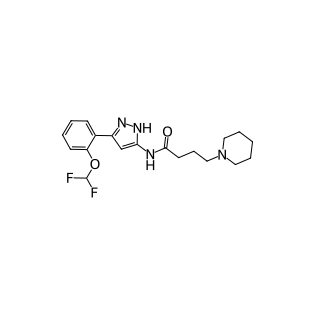 O=C(CCCN1CCCCC1)Nc1cc(-c2ccccc2OC(F)F)n[nH]1